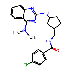 CN(C)c1nc(N[C@H]2CC[C@@H](CNC(=O)c3ccc(Cl)cc3)C2)nc2ccccc12